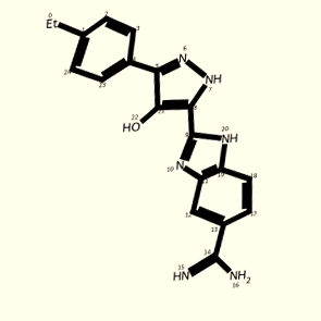 CCc1ccc(-c2n[nH]c(-c3nc4cc(C(=N)N)ccc4[nH]3)c2O)cc1